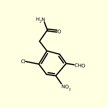 NC(=O)Cc1cc(C=O)c([N+](=O)[O-])cc1Cl